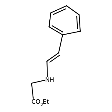 CCOC(=O)CNC=Cc1ccccc1